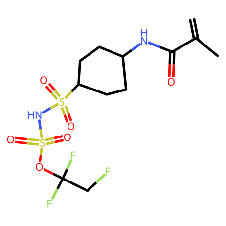 C=C(C)C(=O)NC1CCC(S(=O)(=O)NS(=O)(=O)OC(F)(F)CF)CC1